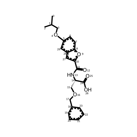 CC(C)COc1ccc2oc(C(=O)N[C@@H](COCc3ccccc3)C(=O)O)cc2c1